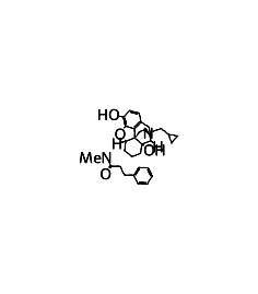 CNC(=O)CCc1ccccc1.Oc1ccc2c3c1O[C@H]1CCC[C@@]4(O)[C@@H](C2)N(CC2CC2)CC[C@]314